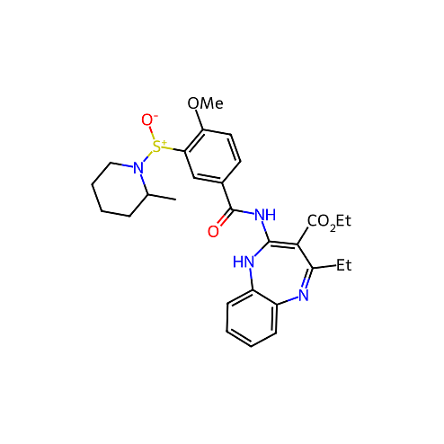 CCOC(=O)C1=C(NC(=O)c2ccc(OC)c([S+]([O-])N3CCCCC3C)c2)Nc2ccccc2N=C1CC